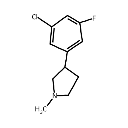 CN1CCC(c2cc(F)cc(Cl)c2)C1